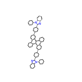 C1=CC2N=C(c3ccc(-c4ccc5c6ccccc6c6c7cc(-c8ccc(-c9nc%10ccccc%10n9-c9ccccc9)cc8)ccc7c7ccccc7c6c5c4)cc3)N(c3ccccc3)C2C=C1